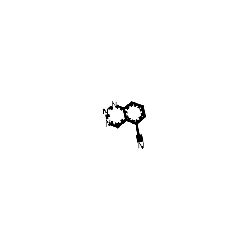 N#Cc1cccc2nnncc12